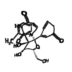 Cc1ccccc1[C@@]1(O)[C@H](O)[C@@H](CO)O[C@@]1(C1=CC(=O)CC=C1)n1ccc(=O)[nH]c1=O